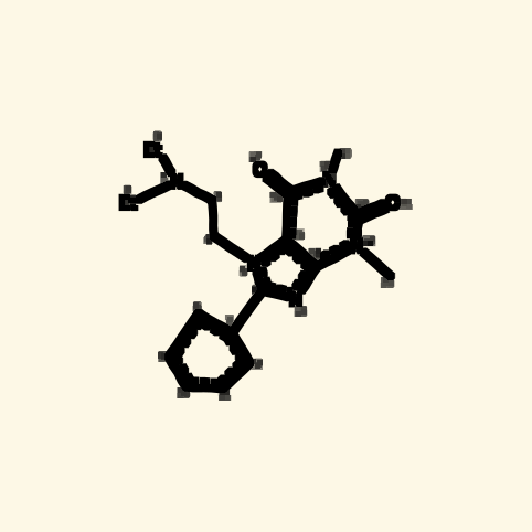 CCN(CC)CCn1c(-c2ccccc2)nc2c1c(=O)n(C)c(=O)n2C